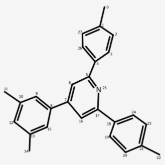 Cc1ccc(-c2cc(-c3cc(C)cc(C)c3)cc(-c3ccc(C)cc3)n2)cc1